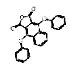 O=C1OC(=O)c2c1c(Oc1ccccc1)c1ccccc1c2Oc1ccccc1